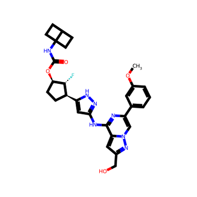 COc1cccc(-c2cn3nc(CO)cc3c(Nc3cc([C@H]4CC[C@@H](OC(=O)NC56CCC5CC6)[C@@H]4F)[nH]n3)n2)c1